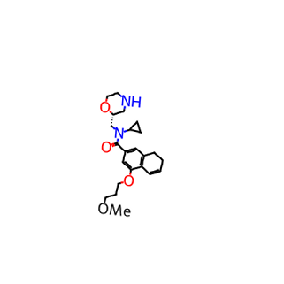 COCCCOc1cc(C(=O)N(C[C@H]2CNCCO2)C2CC2)cc2c1C=CCC2